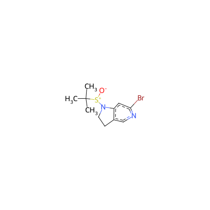 CC(C)(C)[S+]([O-])N1CCc2cnc(Br)cc21